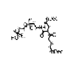 CCCCCCCCCCCCCC(=O)C(CCCCCCCCCCCC)C(=O)NCCC(C)(C)OCCC(C)(O)CC